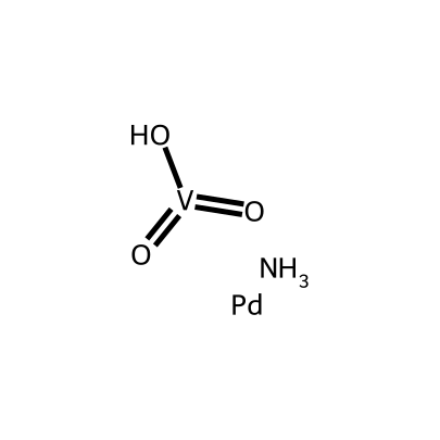 N.[O]=[V](=[O])[OH].[Pd]